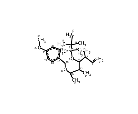 C=CC(C)C(O[Si](C)(C)C(C)(C)C)C(C)C(C)OCc1ccc(OC)cc1